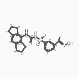 C/C(=N\O)c1cccc(S(=O)(=O)NC(=O)Nc2c3c(cc4c2CCC4)CCC3)c1